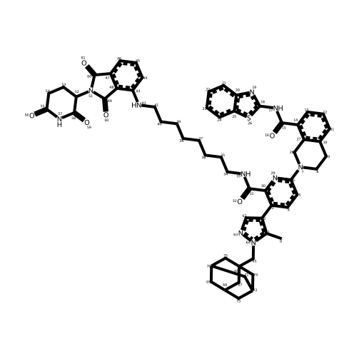 Cc1c(-c2ccc(N3CCc4cccc(C(=O)Nc5nc6ccccc6s5)c4C3)nc2C(=O)NCCCCCCCCNc2cccc3c2C(=O)N(C2CCC(=O)NC2=O)C3=O)cnn1CC12CC3CC(CC(C3)C1)C2